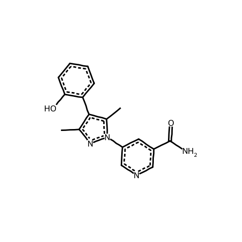 Cc1nn(-c2cncc(C(N)=O)c2)c(C)c1-c1ccccc1O